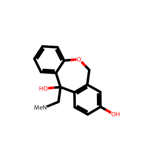 CNCC1(O)c2ccc(O)cc2COc2ccccc21